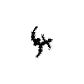 CCCCCCc1ccc(-c2ccc(N(C)c3ccc([Si](c4ccccc4)(c4ccccc4)c4ccc(N(c5ccc(-c6ccc(CCCCCC)cc6)cc5)c5ccc(-c6cc(CCCCCC)c(-c7ccc(C)cc7)cc6CCCCCC)cc5)cc4)cc3)cc2)cc1